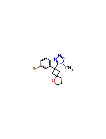 Cn1cnnc1C1(c2cccc(Br)c2)CC2(CCCO2)C1